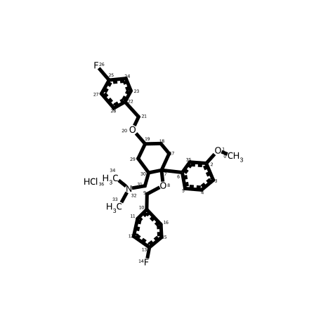 COc1cccc(C2(OCc3ccc(F)cc3)CCC(OCc3ccc(F)cc3)CC2CN(C)C)c1.Cl